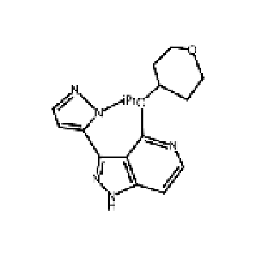 CC(C)n1nccc1-c1n[nH]c2ccnc(OC3CCOCC3)c12